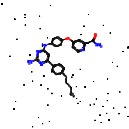 CCCCc1ccc(-c2cc(Nc3ccc(Oc4ccnc(C(N)=O)c4)cc3)nc(N)n2)cc1